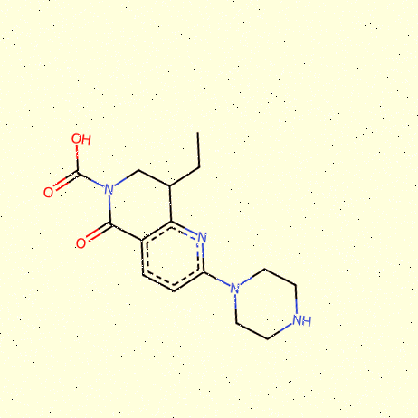 CCC1CN(C(=O)O)C(=O)c2ccc(N3CCNCC3)nc21